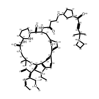 C=C/C(=C(\N=C/C)[C@H](C)OC)c1c2c3cc(ccc3n1CC)-c1csc(n1)C[C@H](NC(=O)CCO[C@H]1CCN(C(=O)C#CC(C)(C)N3CCC3)C1)C(=O)N1CCC[C@@](O)(N1)C(=O)OCC(C)(C)C2